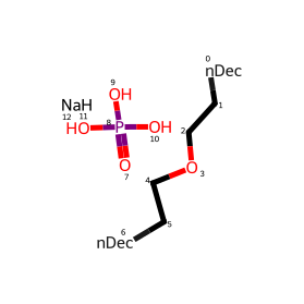 CCCCCCCCCCCCOCCCCCCCCCCCC.O=P(O)(O)O.[NaH]